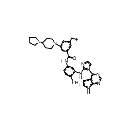 Cc1ccc(NC(=O)c2cc(CF)cc(N3CCC(N4CCCC4)CC3)c2)cc1Nc1nccn1-c1ncnc2[nH]ccc12